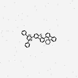 c1ccc(-c2cc(-c3ccccc3)nc(-c3ccc4sc5c(-c6cccc7c6C6(CCCCC6)c6ccccc6-7)cccc5c4c3)n2)cc1